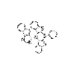 c1ccc(B2c3sc4ccccc4c3N(c3ncnc4c3sc3ccccc34)c3c2sc2ccccc32)cc1